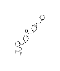 O=C(CN1CCN(CCc2ccccc2)CC1)N1CCN(Cc2ccccc2OC(F)F)CC1